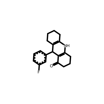 O=C1CCCC2=C1C(c1cccc(F)c1)C1=C(CCCC1)N2